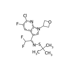 CC(C)(C)S/N=C(\c1cn(C2COC2)c2nc(Cl)c(F)cc12)C(F)F